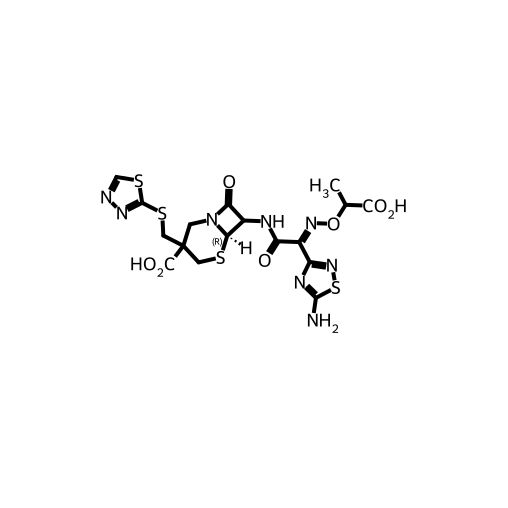 CC(ON=C(C(=O)NC1C(=O)N2CC(CSc3nncs3)(C(=O)O)CS[C@H]12)c1nsc(N)n1)C(=O)O